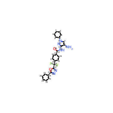 Nc1cn(-c2ccccc2)nc1NC(=O)c1ccc(C(F)(F)c2nnc(-c3ccccc3)o2)cc1